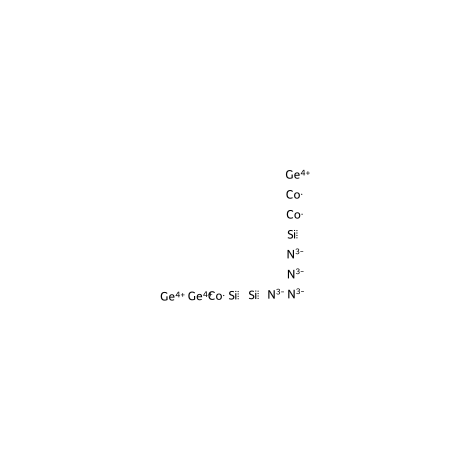 [Co].[Co].[Co].[Ge+4].[Ge+4].[Ge+4].[N-3].[N-3].[N-3].[N-3].[Si].[Si].[Si]